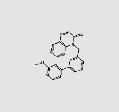 COc1cc(-c2cccc(Cn3c(=O)cnc4cnccc43)c2)ccn1